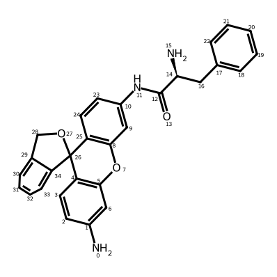 Nc1ccc2c(c1)Oc1cc(NC(=O)[C@@H](N)Cc3ccccc3)ccc1C21OCc2ccccc21